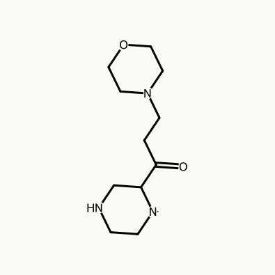 O=C(CCN1CCOCC1)C1CNCC[N]1